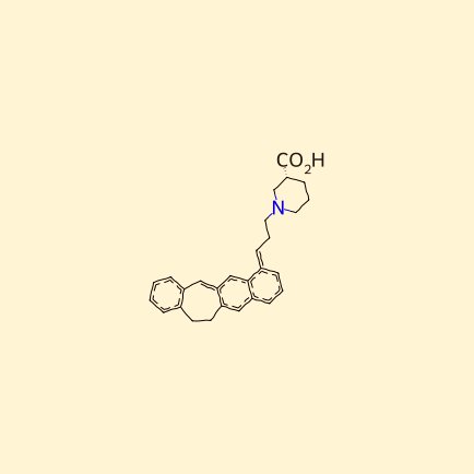 O=C(O)[C@@H]1CCCN(CCC=c2cccc3cc4c(cc23)=Cc2ccccc2CC4)C1